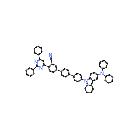 N#Cc1cc(-c2ccc(-c3ccc(-n4c5ccccc5c5cc(N(c6ccccc6)c6ccccc6)ccc54)cc3)cc2)ccc1-c1cc(-c2ccccc2)nc(-c2ccccc2)n1